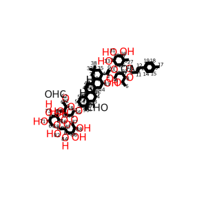 C=C(OC1OC(C)C(OC(=O)/C=C/c2ccc(C)cc2)C(OC(C)=O)C1OC1CC(C)C(O)C(O)C1O)[C@@H]1CC(C)(C)C[C@@H]2C1[C@H](O)C[C@]1(C)C2C=C[C@@H]2[C@@]3(C)CC[C@H](OC4OC(COC=O)C(O)C(OC5OCC(O)C(O)C5O)C4OC4OC(CO)C(O)C(O)C4O)[C@@](C)(C=O)[C@@H]3CC[C@]21C